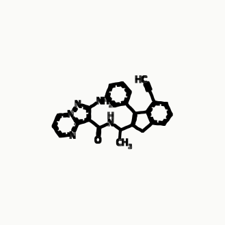 C#Cc1cccc2c1C(c1ccccc1)=C(C(C)NC(=O)c1c(N)nn3cccnc13)C2